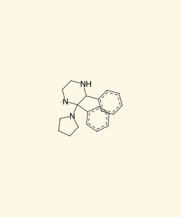 c1ccc(C2NCC[N]C2(c2ccccc2)N2CCCC2)cc1